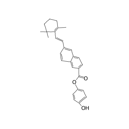 CC1=C(/C=C/c2ccc3cc(C(=O)Oc4ccc(O)cc4)ccc3c2)C(C)(C)CCC1